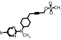 CN(c1ncc(Br)cn1)C1CCC(CC#CCOS(C)(=O)=O)CC1